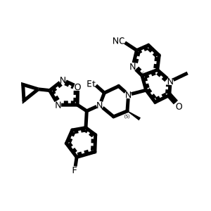 CCC1CN(c2cc(=O)n(C)c3ccc(C#N)nc23)[C@@H](C)CN1C(c1ccc(F)cc1)c1nc(C2CC2)no1